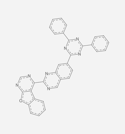 c1ccc(-c2nc(-c3ccccc3)nc(-c3ccc4cnc(-c5ncnc6oc7ccccc7c56)nc4c3)n2)cc1